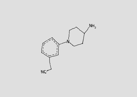 N#CCc1cccc(N2CCC(N)CC2)c1